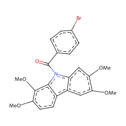 COc1cc2c3ccc(OC)c(OC)c3n(C(=O)c3ccc(Br)cc3)c2cc1OC